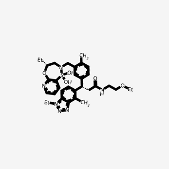 CCOCCNC(=O)C[C@@H](c1ccc(C)c(CN2C[C@@H](CC)Oc3ncccc3S2(O)O)c1)c1ccc2c(nnn2CC)c1C